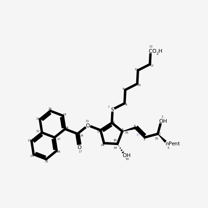 CCCCC[C@H](O)/C=C/[C@@H]1C(SCCCCCC(=O)O)=C(OC(=O)c2cccc3ccccc23)C[C@H]1O